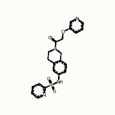 O=C(COc1cccnc1)N1CCc2cc(NS(=O)(=O)c3ccccn3)ccc2C1